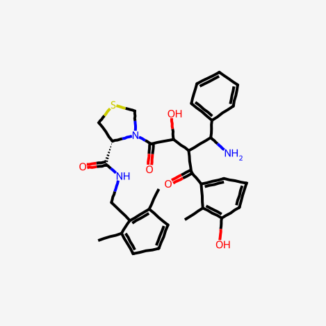 Cc1cccc(C)c1CNC(=O)[C@@H]1CSCN1C(=O)C(O)C(C(=O)c1cccc(O)c1C)C(N)c1ccccc1